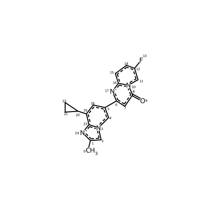 Cc1cn2cc(-c3cc(=O)n4cc(F)ccc4n3)cc(C3CC3)c2n1